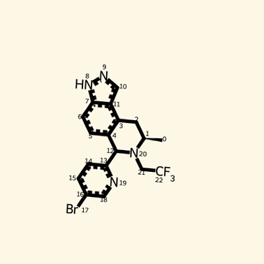 C[C@@H]1Cc2c(ccc3[nH]ncc23)C(c2ccc(Br)cn2)N1CC(F)(F)F